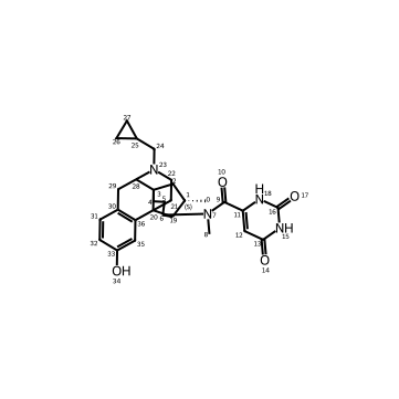 C[C@H]1CC23CCC(N(C)C(=O)c4cc(=O)[nH]c(=O)[nH]4)C1C21CCN(CC2CC2)C3Cc2ccc(O)cc21